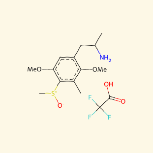 COc1cc(CC(C)N)c(OC)c(C)c1[S+](C)[O-].O=C(O)C(F)(F)F